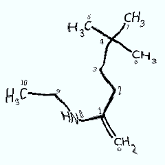 C=C(CCC(C)(C)C)NCC